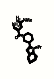 CN/C(N)=C/C(=C\N)C(=O)N1CCCC(c2cc3ccccc3n2C(C)C)C1